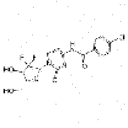 O=C(Nc1ccn(C2O[C@H](CO)[C@@H](O)C2(F)F)c(=O)n1)c1ccc(Cl)cc1